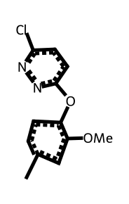 COc1cc(C)ccc1Oc1ccc(Cl)nn1